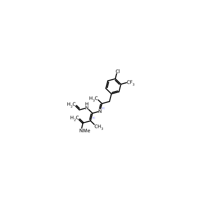 C=CNC(/N=C(\C)Cc1ccc(Cl)c(C(F)(F)F)c1)=C(/C)C(=C)NC